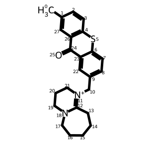 Cc1ccc2sc3ccc(C[N+]4=C5CCCCCN5CCC4)cc3c(=O)c2c1